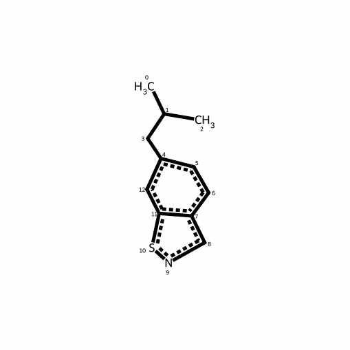 CC(C)Cc1ccc2cnsc2c1